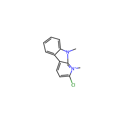 Cn1c2ccccc2c2ccc(Cl)[n+](C)c21